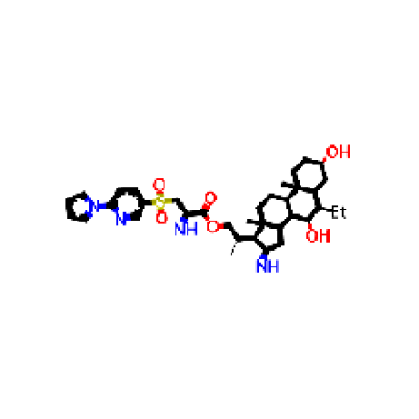 CC[C@@H]1C2C[C@H](O)CCC2(C)C2CCC3(C)C(CC(=N)C3[C@H](C)COC(=O)C(=N)CS(=O)(=O)c3ccc(-n4cccc4)nc3)C2[C@@H]1O